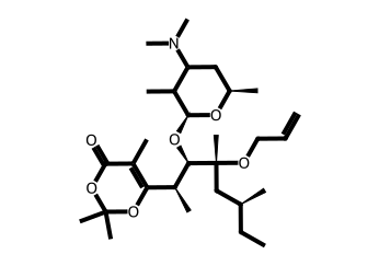 C=CCO[C@](C)(C[C@@H](C)CC)[C@H](O[C@@H]1O[C@H](C)CC(N(C)C)C1C)[C@@H](C)C1=C(C)C(=O)OC(C)(C)O1